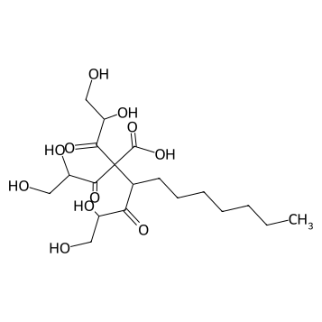 CCCCCCCC(C(=O)C(O)CO)C(C(=O)O)(C(=O)C(O)CO)C(=O)C(O)CO